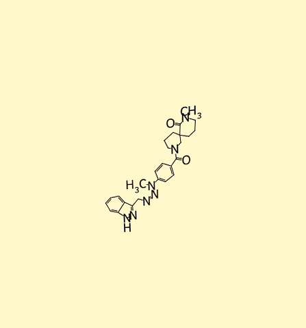 CN1CCCC2(CCCN(C(=O)c3ccc(N(C)/N=N\Cc4n[nH]c5ccccc45)cc3)C2)C1=O